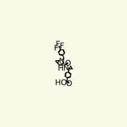 O=C(O)c1ccc(C2(NC(=O)[C@H]3CC4CC4N3Cc3ccc(C(F)(F)F)cc3)CC2)cc1